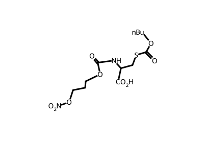 CCCCOC(=O)SCC(NC(=O)OCCCO[N+](=O)[O-])C(=O)O